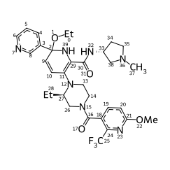 CCOC1(c2cccnc2)C=CC(N2CCN(C(=O)c3ccc(OC)nc3C(F)(F)F)C[C@H]2CC)=C(C(=O)N[C@@H]2CCN(C)C2)N1